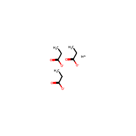 CCC(=O)[O-].CCC(=O)[O-].CCC(=O)[O-].[In+3]